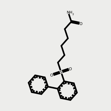 NC(=O)CCCCCS(=O)(=O)c1ccccc1-c1ccccc1